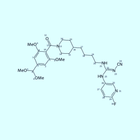 COc1cc(C(OC)OC)cc(OC)c1C(=O)N1CCC(CCCCN/C(=N\C#N)Nc2ccc(F)nc2)CC1